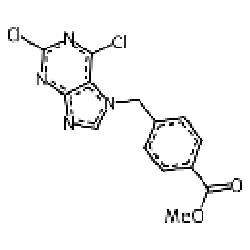 COC(=O)c1ccc(Cn2cnc3nc(Cl)nc(Cl)c32)cc1